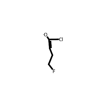 [O]C(Cl)=CCCF